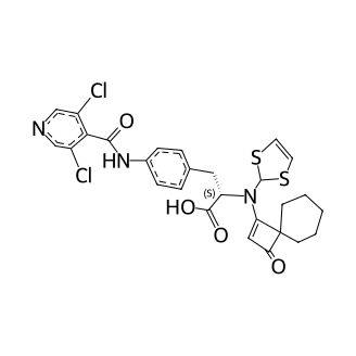 O=C(Nc1ccc(C[C@@H](C(=O)O)N(C2=CC(=O)C23CCCCC3)C2SC=CS2)cc1)c1c(Cl)cncc1Cl